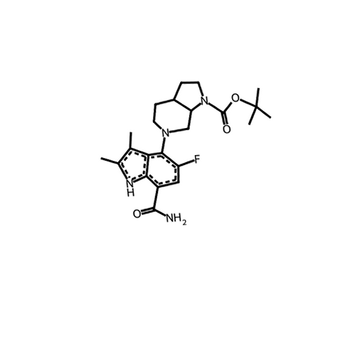 Cc1[nH]c2c(C(N)=O)cc(F)c(N3CCC4CCN(C(=O)OC(C)(C)C)C4C3)c2c1C